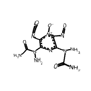 NC(=O)N(N)c1nc(N(N)C(N)=O)c(N=O)[n+]([O-])c1N=O